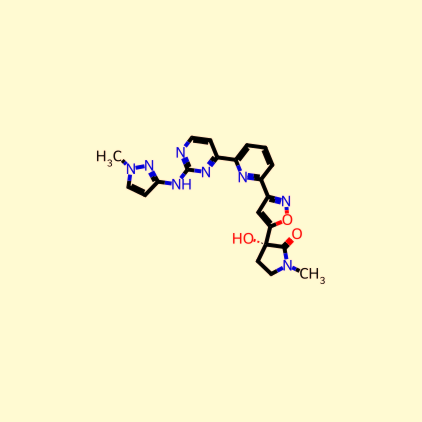 CN1CC[C@@](O)(c2cc(-c3cccc(-c4ccnc(Nc5ccn(C)n5)n4)n3)no2)C1=O